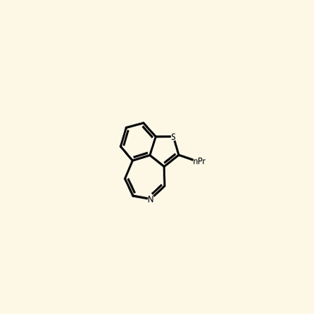 CCCc1sc2cccc3c2c1C=NC=C3